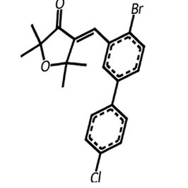 CC1(C)OC(C)(C)C(=Cc2cc(-c3ccc(Cl)cc3)ccc2Br)C1=O